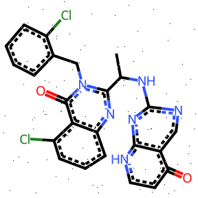 CC(Nc1ncc2c(=O)cc[nH]c2n1)c1nc2cccc(Cl)c2c(=O)n1Cc1ccccc1Cl